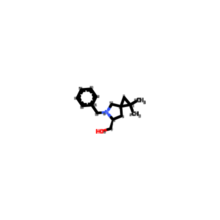 CC1(C)CC12C[C@@H](CO)N(Cc1ccccc1)C2